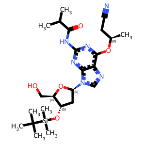 CC(C)C(=O)Nc1nc(O[C@H](C)CC#N)c2ncn([C@H]3C[C@H](O[Si](C)(C)C(C)(C)C)[C@@H](CO)O3)c2n1